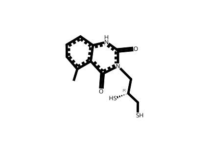 Cc1cccc2[nH]c(=O)n(C[C@@H](S)CS)c(=O)c12